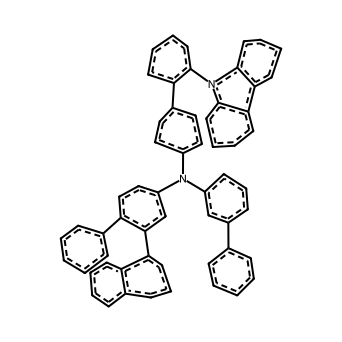 c1ccc(-c2cccc(N(c3ccc(-c4ccccc4-n4c5ccccc5c5ccccc54)cc3)c3ccc(-c4ccccc4)c(-c4cccc5ccccc45)c3)c2)cc1